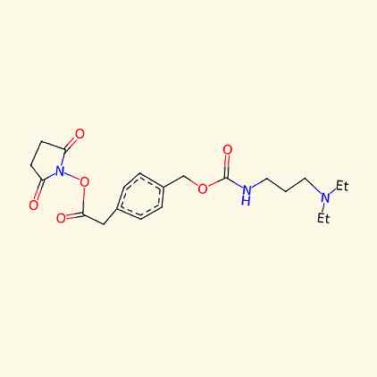 CCN(CC)CCCNC(=O)OCc1ccc(CC(=O)ON2C(=O)CCC2=O)cc1